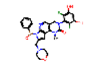 CCN1C(=O)N(c2c(F)c(O)cc(O)c2F)Cc2cnc3c(cc(CN4CCOCC4)n3[S+]([O-])c3ccccc3)c21